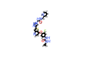 O=C(Cn1cc(-c2cc3nccc(Oc4ccc(NC(=O)NC5CC5)cc4F)c3s2)nn1)NCc1ccccn1